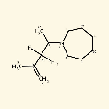 C=C(C)C(F)(F)C(N1CCCCCC1)C(F)(F)F